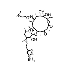 Bn1cc(CCN(C)[C@H]2C[C@@H](C)O[C@@H](OC3[C@@H](C)C(=O)[C@@H](C)C(=O)O[C@H](CC)[C@@](C)(O)[C@H](O)[C@@H](C)/C(=N/OCCN(C)C)[C@H](C)C[C@@]3(C)OC)[C@@H]2O)nn1